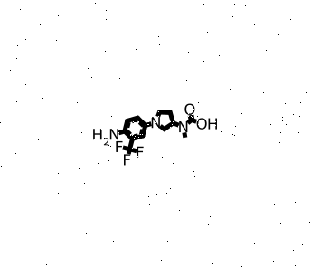 CN(C(=O)O)C1CCN(c2ccc(N)c(C(F)(F)F)c2)C1